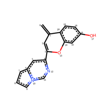 C=C1C=C(c2cc3cccn3cn2)Oc2cc(O)ccc21